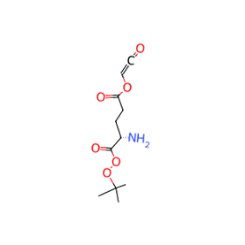 CC(C)(C)OOC(=O)[C@@H](N)CCC(=O)OC=C=O